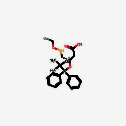 CC(C)(C)[Si](O[C@H](CPOCCl)CC(=O)O)(c1ccccc1)c1ccccc1